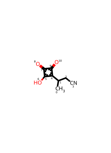 CC(CC#N)c1c(O)c(=O)c1=O